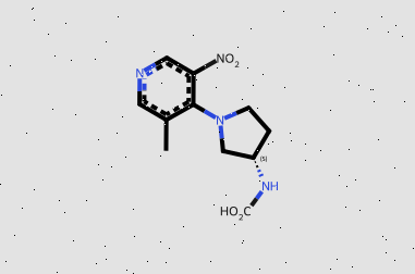 Cc1cncc([N+](=O)[O-])c1N1CC[C@H](NC(=O)O)C1